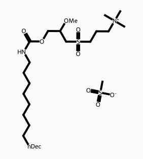 CCCCCCCCCCCCCCCCCCNC(=O)OCC(CS(=O)(=O)CCC[N+](C)(C)C)OC.CS(=O)(=O)[O-]